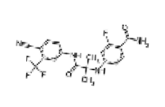 CC(C)(Nc1ccc(C(N)=O)c(F)c1)C(=O)Nc1ccc(C#N)c(C(F)(F)F)c1